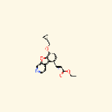 CCOC(=O)/C=C/c1ccc(OCC2CC2)c2oc3cnccc3c12